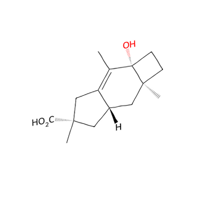 CC1=C2C[C@@](C)(C(=O)O)C[C@H]2C[C@]2(C)CC[C@]12O